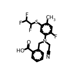 Cc1cc(F)c(N(CC#N)Cc2ccccc2C(=O)O)cc1SC(F)C(F)F